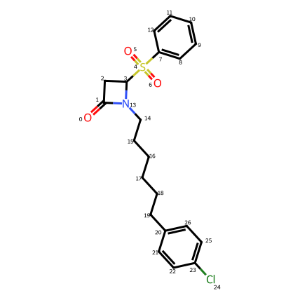 O=C1CC(S(=O)(=O)c2ccccc2)N1CCCCCCc1ccc(Cl)cc1